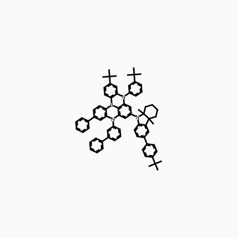 CC(C)(C)c1ccc(-c2ccc3c(c2)C2(C)CCCCC2(C)N3c2cc3c4c(c2)N(c2cccc(C(C)(C)C)c2)c2cc(C(C)(C)C)ccc2B4c2ccc(-c4ccccc4)cc2N3c2cccc(-c3ccccc3)c2)cc1